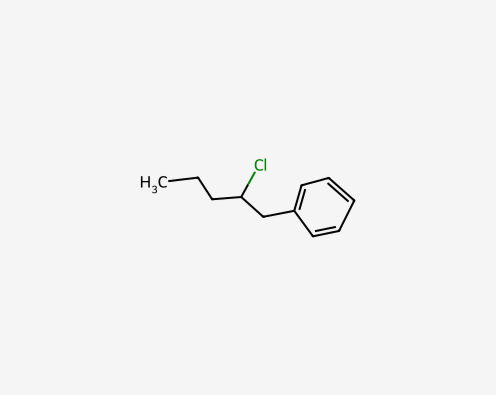 CCCC(Cl)Cc1ccccc1